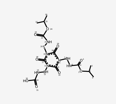 CC(C)OC(=O)NBn1c(=O)n(BNC(=O)O)c(=O)n(SNC(=O)OC(C)C)c1=O